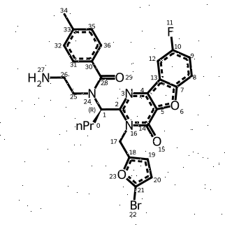 CCC[C@H](c1nc2c(oc3ccc(F)cc32)c(=O)n1Cc1ccc(Br)o1)N(CCN)C(=O)c1ccc(C)cc1